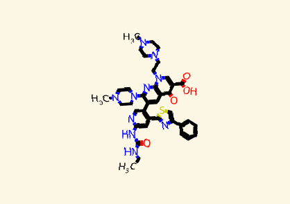 CCNC(=O)Nc1cc(-c2nc(-c3ccccc3)cs2)c(-c2cc3c(=O)c(C(=O)O)cn(CCN4CCN(C)CC4)c3nc2N2CCN(C)CC2)cn1